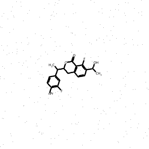 CCCc1ccc(C(C)C2Cc3ccc(C(C)O)c(F)c3C(=O)O2)cc1F